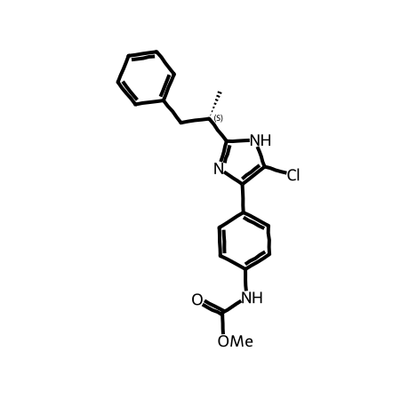 COC(=O)Nc1ccc(-c2nc([C@@H](C)Cc3ccccc3)[nH]c2Cl)cc1